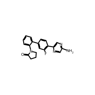 Nc1cnc(-c2ccc(-c3ccccc3N3CCCC3=O)cc2F)cn1